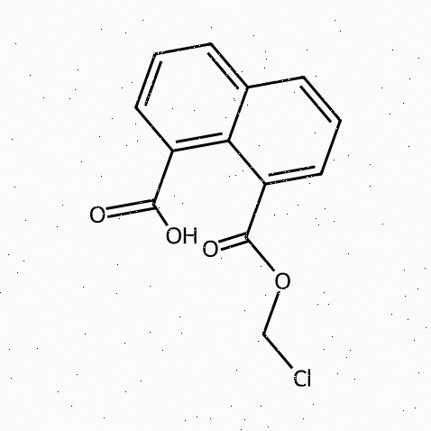 O=C(O)c1cccc2cccc(C(=O)OCCl)c12